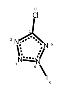 Clc1nnn(I)n1